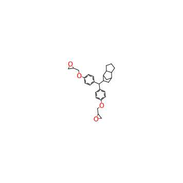 c1cc(C(c2ccc(OCC3CO3)cc2)C2CC3CC2C2CCCC32)ccc1OCC1CO1